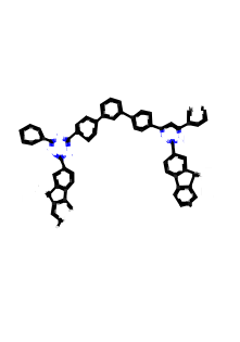 Cc1ccc2c(c1)C(C)(C)c1cc(-c3nc(-c4ccccc4)cc(-c4ccc(-c5cccc(-c6ccc(-c7nc(-c8ccccc8)nc(-c8ccc9c(c8)C(C)(C)c8cc(C)ccc8-9)n7)cc6)c5)cc4)n3)ccc1-2